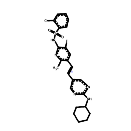 Cc1nc(NS(=O)(=O)c2ccccc2Cl)c(F)cc1/C=C/c1cnc(NC2CCCCC2)nc1